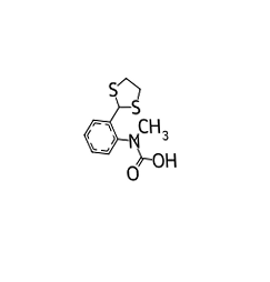 CN(C(=O)O)c1ccccc1C1SCCS1